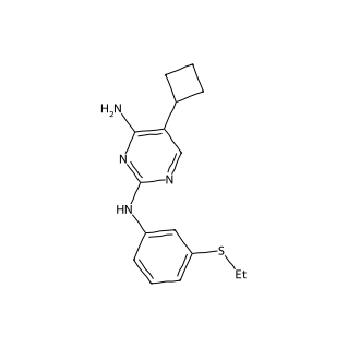 CCSc1cccc(Nc2ncc(C3CCC3)c(N)n2)c1